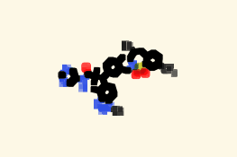 CC[C@H]1Cc2ccc(C(F)(F)F)cc2S(=O)(=O)N(Cc2cc([C@@H](c3ccc4c(nnn4CC)c3C)C(C)(C)C(=O)Nc3cncnc3)ccc2C)C1